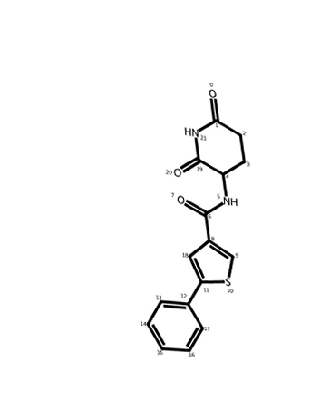 O=C1CCC(NC(=O)c2csc(-c3ccccc3)c2)C(=O)N1